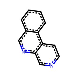 c1ccc2c(c1)cnc1cnccc12